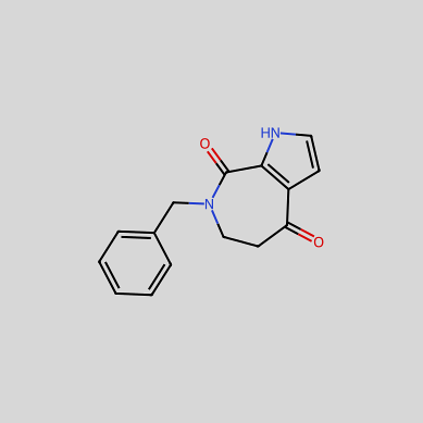 O=C1CCN(Cc2ccccc2)C(=O)c2[nH]ccc21